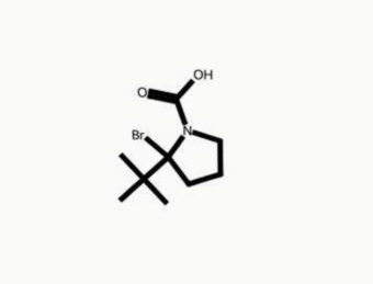 CC(C)(C)C1(Br)CCCN1C(=O)O